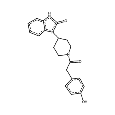 O=C(Cc1ccc(O)cc1)N1CCC(n2c(=O)[nH]c3ccccc32)CC1